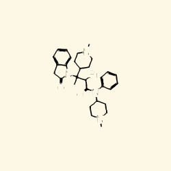 CN1CCC(N(C(=O)C(Br)C(C)(C2CCN(C)CC2)N2C(=O)Cc3ccccc32)c2ccccc2)CC1